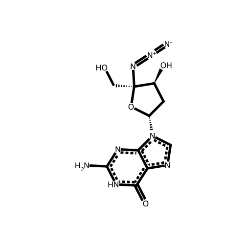 [N-]=[N+]=N[C@]1(CO)O[C@@H](n2cnc3c(=O)[nH]c(N)nc32)C[C@@H]1O